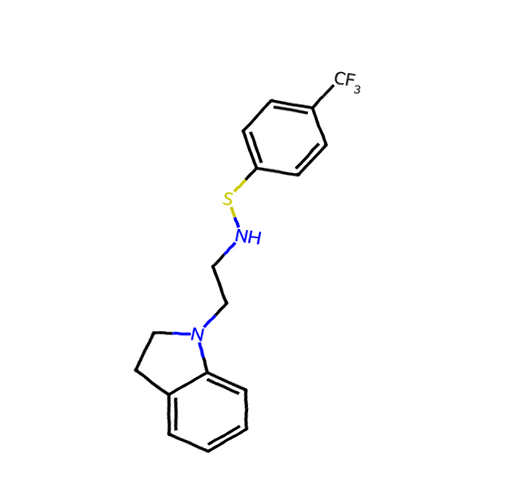 FC(F)(F)c1ccc(SNCCN2CCc3ccccc32)cc1